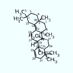 CC1(C)CC[C@]2(C)CC[C@]3(C)C(=C2C1)CC[C@@H]1[C@@]2(C)C=CCC(C)(C)C2CC[C@]13C